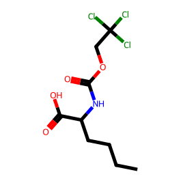 CCCCC(NC(=O)OCC(Cl)(Cl)Cl)C(=O)O